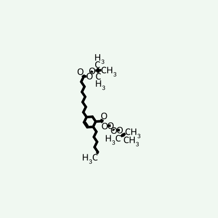 CCCCCCC1C=CC(CCCCCCCC(=O)OOC(C)(C)C)CC1C(=O)OOOOC(C)(C)C